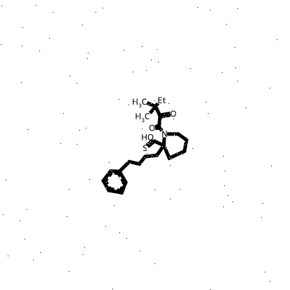 CCC(C)(C)C(=O)C(=O)N1CCCCC1(CCCCc1ccccc1)C(O)=S